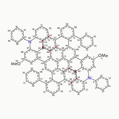 COc1cc2c3c(c1)N(c1ccccc1)c1ccccc1B3c1cc3c(-c4c(-c5ccccc5)cccc4-c4ccccc4)cc4c5c(cc6c(-c7c(-c8ccccc8)cccc7-c7ccccc7)cc-2c1c6c35)B1c2ccccc2N(c2ccccc2)c2cc(OC)cc-4c21